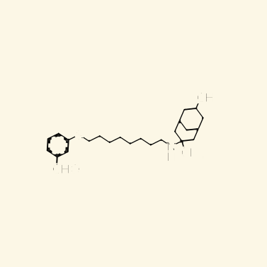 CC1CC2CC(C1)CC(C)(NCCCCCCCCSc1cccc(C=O)c1)C2